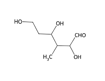 CC(C(O)C=O)C(O)CCO